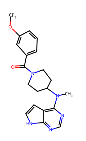 CN(c1ncnc2[nH]ccc12)C1CCN(C(=O)c2cccc(OC(F)(F)F)c2)CC1